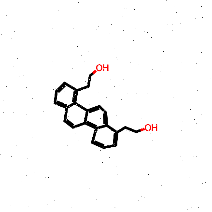 OCCc1cccc2c1ccc1c2ccc2cccc(CCO)c21